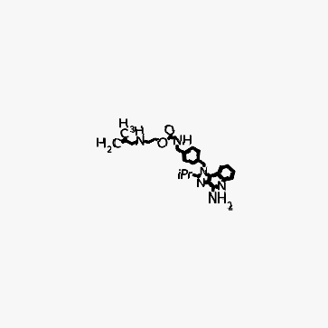 C=C(C)CNCCOC(=O)NCc1ccc(Cn2c(C(C)C)nc3c(N)nc4ccccc4c32)cc1